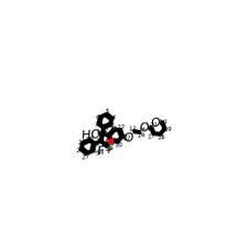 OC(c1ccccc1)(c1ccc(OCCOC2CCCCO2)cc1)C(c1ccccc1)C(F)(F)F